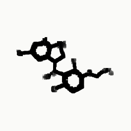 O[C@@H](c1c(Cl)ccc(OCC(F)(F)F)c1F)C1CNc2ncc(Br)cc21